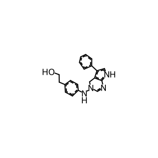 OCCc1ccc(NN2C=Nc3[nH]cc(-c4ccccc4)c3C2)cc1